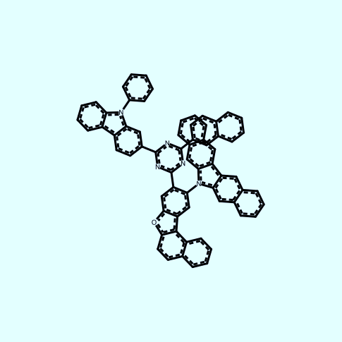 c1ccc(-n2c3ccccc3c3ccc(-c4nc(-c5ccc6ccccc6c5)nc(-c5cc6oc7ccc8ccccc8c7c6cc5-n5c6cc7ccccc7cc6c6cc7ccccc7cc65)n4)cc32)cc1